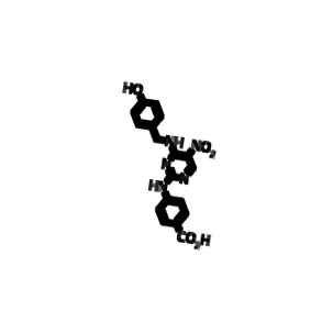 O=C(O)c1ccc(Nc2ncc([N+](=O)[O-])c(NCc3ccc(O)cc3)n2)cc1